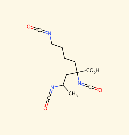 CC(CC(CCCCN=C=O)(N=C=O)C(=O)O)N=C=O